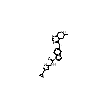 CC1Cc2c(ncnc2Oc2ccc3c(ccn3C(=O)Nc3cc(C4CC4)on3)c2)CN1